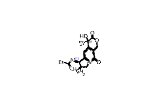 C=C(CC)/N=C1\C(=C)Cn2c1cc1c(c2=O)COC(=O)[C@]1(O)CC